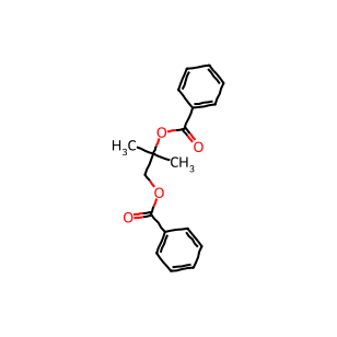 CC(C)(COC(=O)c1ccccc1)OC(=O)c1ccccc1